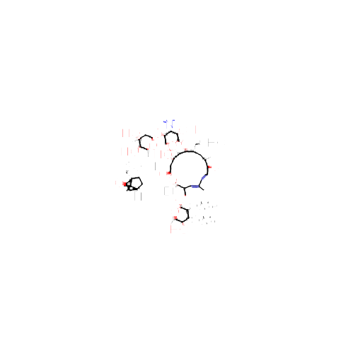 CC1(C)[C@@H]2CC[C@@]1(CS(=O)(=O)O)C(=O)C2.CC[C@H]1OC(=O)C[C@@H](O)[C@H](C)[C@@H](O[C@@H]2O[C@H](C)[C@@H](O[C@H]3C[C@@](C)(O)[C@@H](O)[C@H](C)O3)[C@H](N(C)C)[C@H]2O)[C@@H](CC=O)C[C@@H](C)C(=O)/C=C/C(C)=C/C1CO[C@@H]1O[C@H](C)[C@@H](O)[C@@H](OC)[C@H]1OC